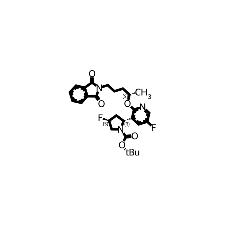 C[C@@H](CCCN1C(=O)c2ccccc2C1=O)Oc1ncc(F)cc1[C@H]1C[C@H](F)CN1C(=O)OC(C)(C)C